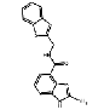 Nc1nc2c(C(=O)NCc3cc4ccccc4s3)cccc2[nH]1